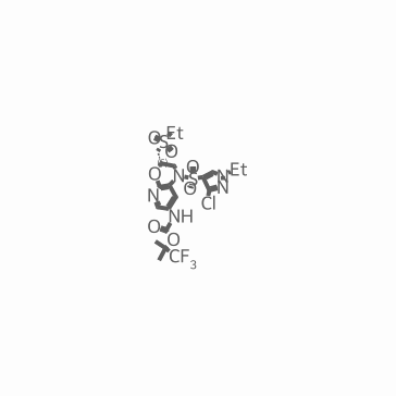 CCn1cc(S(=O)(=O)N2C[C@@H](CS(=O)(=O)CC)Oc3ncc(NC(=O)OC(C)(C)C(F)(F)F)cc32)c(Cl)n1